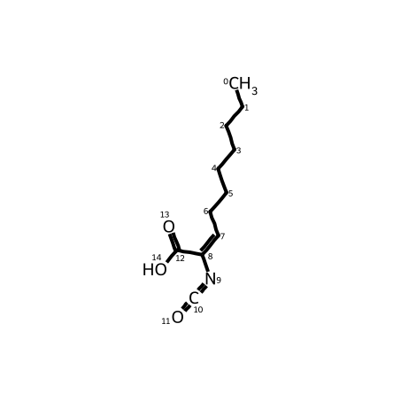 CCCCCCC/C=C(/N=C=O)C(=O)O